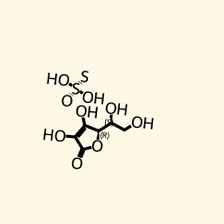 O=C1O[C@H]([C@@H](O)CO)C(O)=C1O.O=S(O)(O)=S